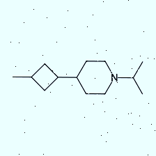 CC1CC(C2CCN(C(C)C)CC2)C1